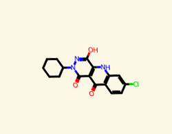 O=c1c2ccc(Cl)cc2[nH]c2c(O)nn(C3CCCCC3)c(=O)c12